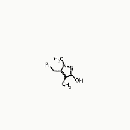 Cc1c(O)nn(C)c1CC(C)C